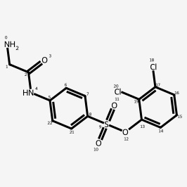 NCC(=O)Nc1ccc(S(=O)(=O)Oc2cccc(Cl)c2Cl)cc1